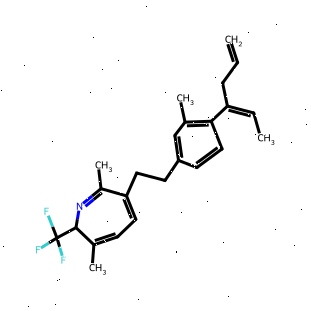 C=CC/C(=C/C)c1ccc(CCC2=CC=C(C)C(C(F)(F)F)N=C2C)cc1C